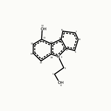 OCCn1c2ccccc2c2c(O)cccc21